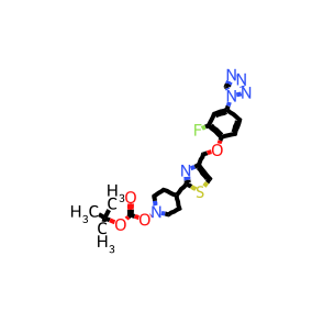 CC(C)(C)OC(=O)ON1CCC(c2nc(COc3ccc(-n4cnnn4)cc3F)cs2)CC1